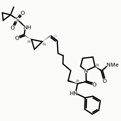 CNC(=O)[C@@H]1CCCN1C(=O)[C@H](CCCCC/C=C\[C@@H]1C[C@@H]1C(=O)NS(=O)(=O)C1(C)CC1)Nc1ccccc1